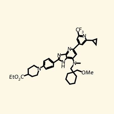 CCOC(=O)C1CCN(c2ccc(-c3nc4nc(-c5cc(C6CC6)nc(C(F)(F)F)c5)cc(N(C)CC5(COC)CCCCC5)c4[nH]3)cc2)CC1